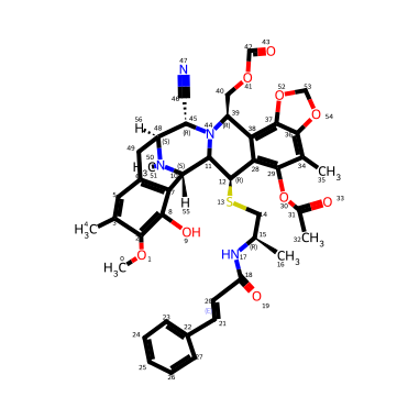 COc1c(C)cc2c(c1O)[C@H]1C3[C@H](SC[C@@H](C)NC(=O)/C=C/c4ccccc4)c4c(OC(C)=O)c(C)c5c(c4[C@H](COC=O)N3[C@@H](C#N)[C@H](C2)N1C)OCO5